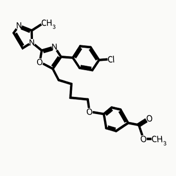 COC(=O)c1ccc(OCCCCc2oc(-n3ccnc3C)nc2-c2ccc(Cl)cc2)cc1